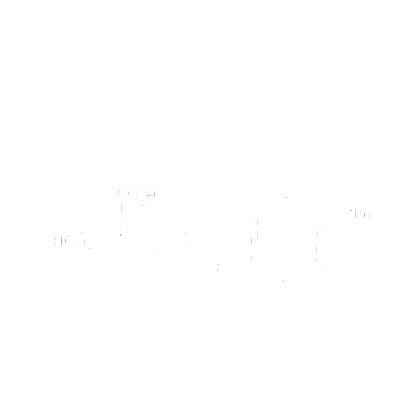 CC(C)(C)c1ccc(CCCC(C(=O)O)C(=O)O)cc1